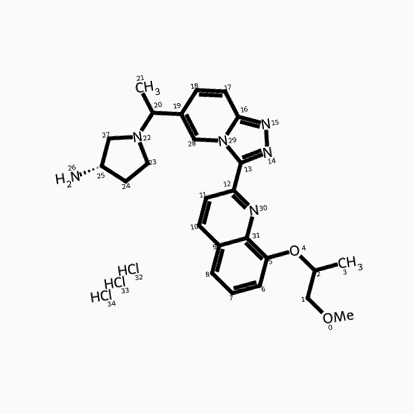 COCC(C)Oc1cccc2ccc(-c3nnc4ccc(C(C)N5CC[C@H](N)C5)cn34)nc12.Cl.Cl.Cl